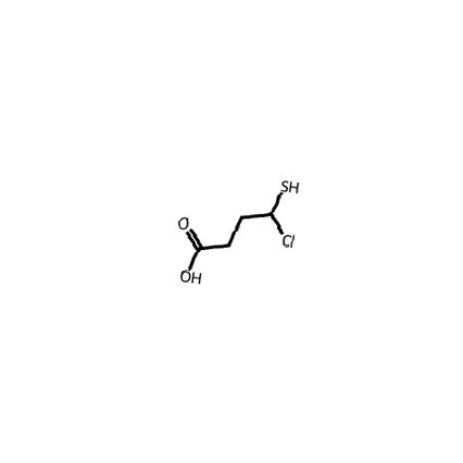 O=C(O)CCC(S)Cl